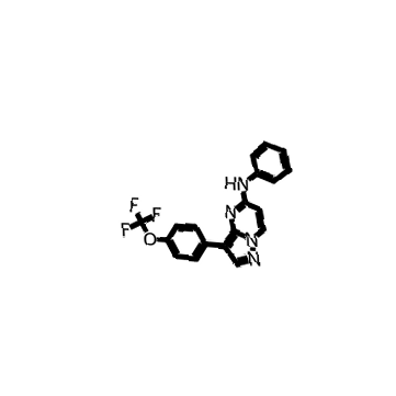 FC(F)(F)Oc1ccc(-c2cnn3ccc(Nc4ccccc4)nc23)cc1